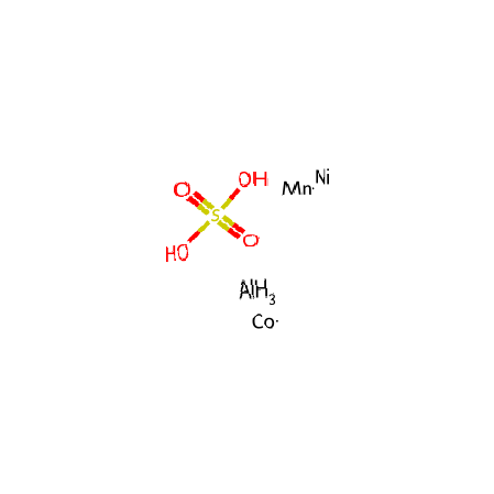 O=S(=O)(O)O.[AlH3].[Co].[Mn].[Ni]